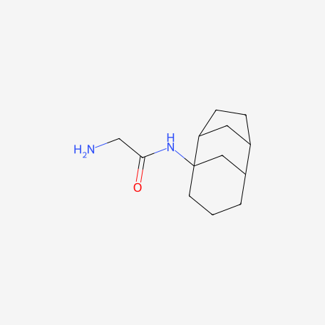 NCC(=O)NC12CCCC(C1)C1CCC2C1